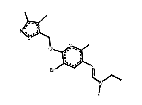 CCN(C)/C=N/c1cc(Br)c(OCc2snc(C)c2C)nc1C